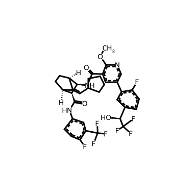 COc1ncc(-c2cc([C@H](O)C(F)(F)F)ccc2F)cc1C(=O)N[C@H]1[C@@H](C(=O)Nc2ccc(F)c(C(F)(F)F)c2)[C@H]2CC[C@@H]1/C2=C\C1CCCC1